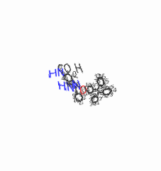 O=C(O)Nc1ccc2nc(-c3ccccc3Oc3ccc(C(=C(c4ccccc4)c4ccccc4)c4ccccc4)cc3)[nH]c2c1